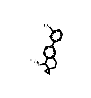 O=C(O)NC1c2ccc(-c3cccc(C(F)(F)F)c3)cc2CCC12CC2